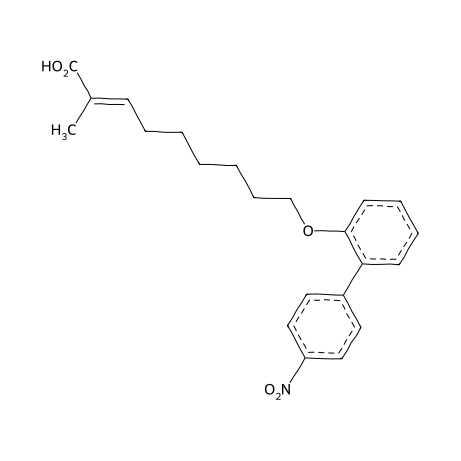 CC(=CCCCCCCOc1ccccc1-c1ccc([N+](=O)[O-])cc1)C(=O)O